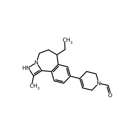 CCC1CCn2[nH]c(C)c2-c2ccc(C3=CCN(C=O)CC3)cc21